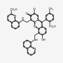 Cc1ccc(C(=O)O)c(-c2c3cc(Cl)c(=O)c(CNc4cccc5ccc(C(=O)O)nc45)c-3oc3c(CNc4cccc5cccnc45)c(O)ccc23)c1